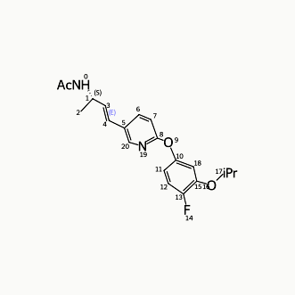 CC(=O)N[C@@H](C)/C=C/c1ccc(Oc2ccc(F)c(OC(C)C)c2)nc1